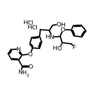 Cl.Cl.NC(=O)c1cccnc1Oc1ccc(CC(CO)NC(Oc2ccccc2)[C@H](O)CF)cc1